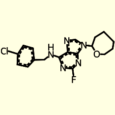 Fc1nc(NCc2ccc(Cl)cc2)c2ncn(C3CCCCCO3)c2n1